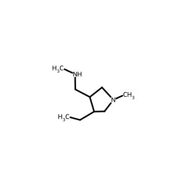 CCC1CN(C)CC1CNC